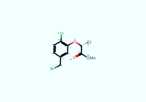 CC[C@@H](Oc1cc(CBr)ccc1Cl)C(=O)OC